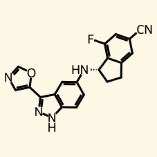 N#Cc1cc(F)c2c(c1)CC[C@@H]2Nc1ccc2[nH]nc(-c3cnco3)c2c1